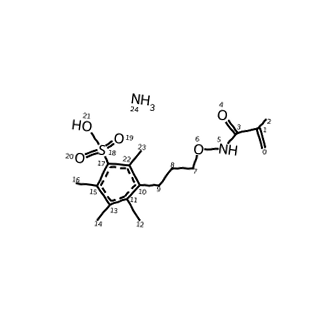 C=C(C)C(=O)NOCCCc1c(C)c(C)c(C)c(S(=O)(=O)O)c1C.N